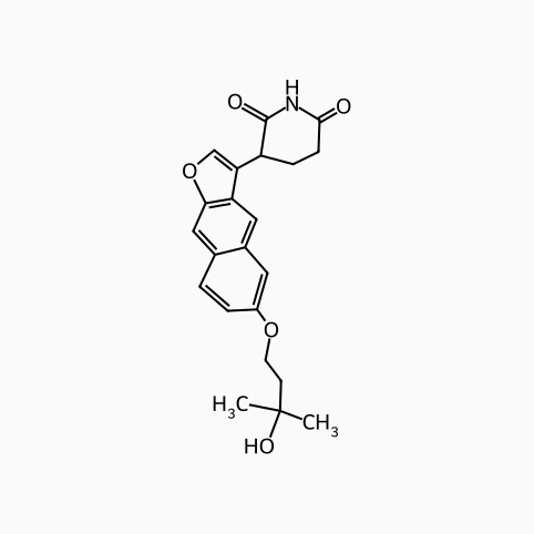 CC(C)(O)CCOc1ccc2cc3occ(C4CCC(=O)NC4=O)c3cc2c1